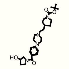 CC(C)(C)OC(=O)N1CCC(CCN2CCN(c3ccc(C(=O)N4CCC(O)C4)cc3)CC2)CC1